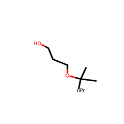 CCCC(C)(C)OCCCO